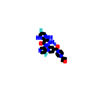 NC1NN2CC(F)CNC2C1C(=O)Nc1cncc(F)c1N1CCC(C(=O)N2CCN(C3COC3)CC2)CC1